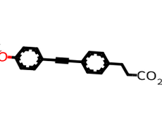 CCOc1ccc(C#Cc2ccc(CCC(=O)O)cc2)cc1